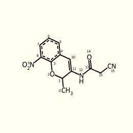 CC1Oc2c(cccc2[N+](=O)[O-])C=C1NC(=O)CC#N